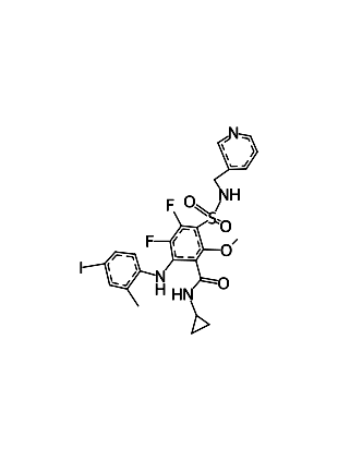 COc1c(C(=O)NC2CC2)c(Nc2ccc(I)cc2C)c(F)c(F)c1S(=O)(=O)NCc1cccnc1